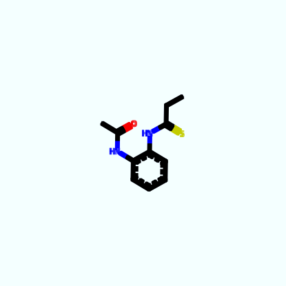 CCC(=S)Nc1ccccc1NC(C)=O